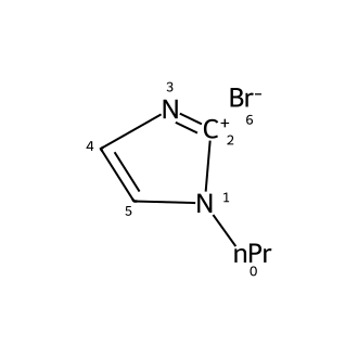 CCCN1[C+]=NC=C1.[Br-]